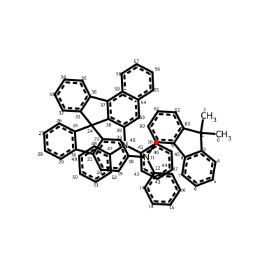 CC1(C)c2ccccc2-c2c(N(c3ccccc3)c3ccc4c(c3)C3(c5ccccc5-4)c4ccccc4-c4c3c(N(c3ccccc3)c3ccccc3)cc3ccccc43)cccc21